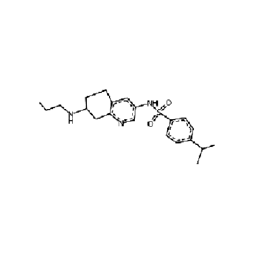 CCCNC1CCc2cc(NS(=O)(=O)c3ccc(C(C)C)cc3)cnc2C1